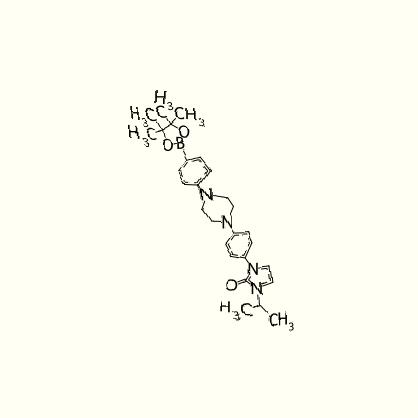 CC(C)n1ccn(-c2ccc(N3CCN(c4ccc(B5OC(C)(C)C(C)(C)O5)cc4)CC3)cc2)c1=O